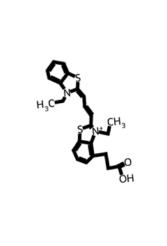 CCN1C(=CC=Cc2sc3cccc(CCC(=O)O)c3[n+]2CC)Sc2ccccc21